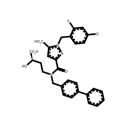 O=C(O)c1cc(C(=O)N(CC[C@@H](O)C(=O)O)Cc2ccc(-c3ccccc3)cc2)nn1Cc1ccc(Cl)cc1F